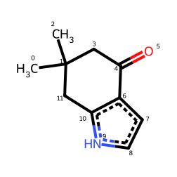 CC1(C)CC(=O)c2cc[nH]c2C1